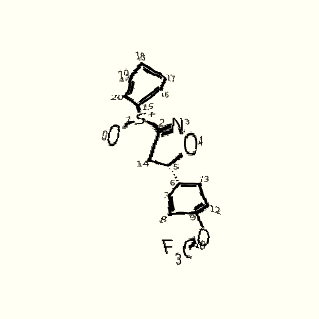 [O-][S+](C1=NO[C@H](c2ccc(OC(F)(F)F)cc2)C1)c1ccccc1